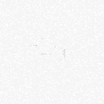 Cc1nc(CC(=O)Br)sc1C